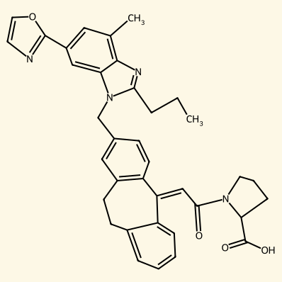 CCCc1nc2c(C)cc(-c3ncco3)cc2n1Cc1ccc2c(c1)CCc1ccccc1C2=CC(=O)N1CCCC1C(=O)O